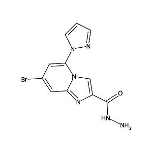 NNC(=O)c1cn2c(-n3cccn3)cc(Br)cc2n1